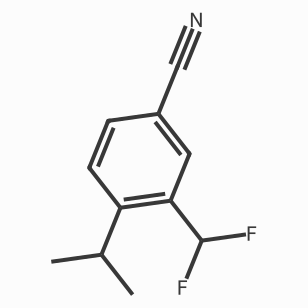 CC(C)c1ccc(C#N)cc1C(F)F